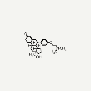 CN(C)CCOc1ccc([C@H]2CC3=CC(=O)CC[C@@H]3[C@H]3CC[C@]4(C)[C@@H](O)CC[C@H]4[C@@H]32)cc1